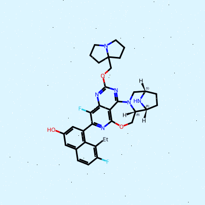 CCc1c(F)ccc2cc(O)cc(-c3nc4c5c(nc(OCC67CCCN6CCC7)nc5c3F)N3C[C@@H]5CC[C@@H](N5)[C@@H]3CO4)c12